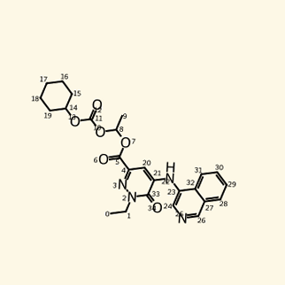 CCn1nc(C(=O)OC(C)OC(=O)OC2CCCCC2)cc(Nc2cncc3ccccc23)c1=O